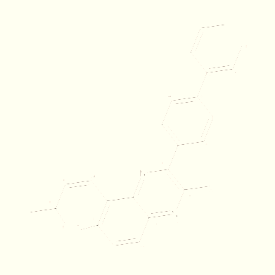 C/C=C\C(=C/C)c1ccc(-c2nc3c(/C=C\C(C)C)c(C)ccc3nc2C)cc1